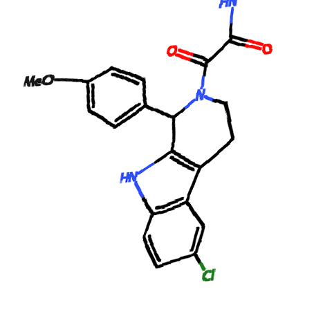 CCNC(=O)C(=O)N1CCc2c([nH]c3ccc(Cl)cc23)C1c1ccc(OC)cc1